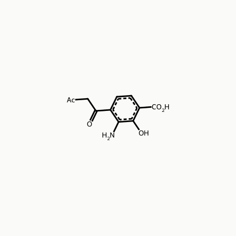 CC(=O)CC(=O)c1ccc(C(=O)O)c(O)c1N